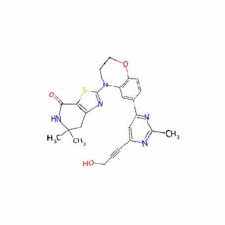 Cc1nc(C#CCO)cc(-c2ccc3c(c2)N(c2nc4c(s2)C(=O)NC(C)(C)C4)CCO3)n1